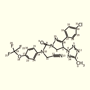 Cc1nnn(C2CN(C(=O)N(CC#N)c3ccc(OC(F)(F)F)cc3)N=C2c2ccc(Cl)cc2)n1